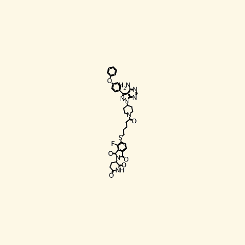 Nc1ncnc2c1c(-c1ccc(Oc3ccccc3)cc1)nn2C1CCN(C(=O)CCCCSc2ccc3c(c2F)C(=O)N(C2CCC(=O)NC2=O)C3=O)CC1